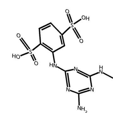 CNc1nc(N)nc(Nc2cc(S(=O)(=O)O)ccc2S(=O)(=O)O)n1